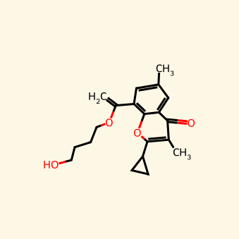 C=C(OCCCCO)c1cc(C)cc2c(=O)c(C)c(C3CC3)oc12